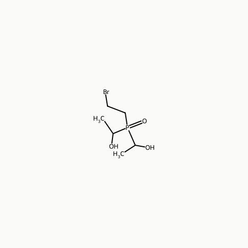 CC(O)P(=O)(CCBr)C(C)O